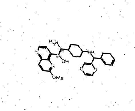 COc1ccc2nccc([C@H](O)[C@@H](N)C3CCC(NC(C4=CC=CCC4)C4=COC=CO4)CC3)c2n1